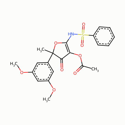 COc1cc(OC)cc(C2(C)OC(NS(=O)(=O)c3ccccc3)=C(OC(C)=O)C2=O)c1